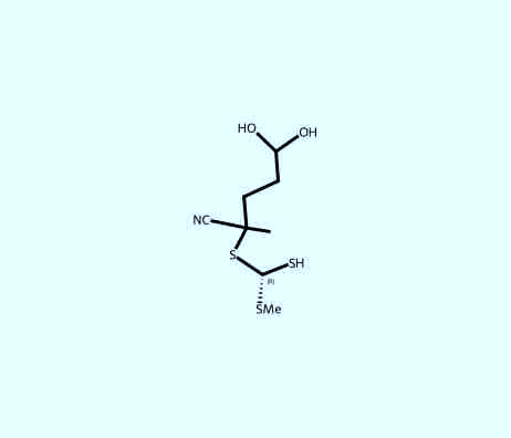 CS[C@@H](S)SC(C)(C#N)CCC(O)O